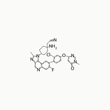 Cc1nc2cnc3cc(F)c(-c4ccc(Oc5cc(=O)n(C)cn5)cc4Cl)cc3c2n1C1CCC(N)(CC#N)CC1